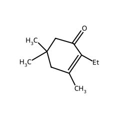 CCC1=C(C)CC(C)(C)CC1=O